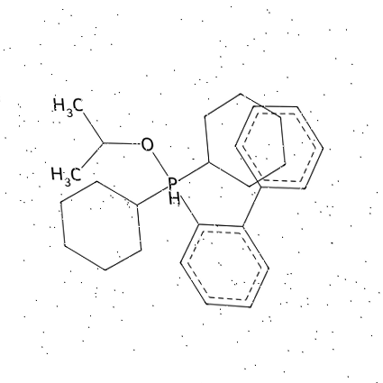 CC(C)O[PH](c1ccccc1-c1ccccc1)(C1CCCCC1)C1CCCCC1